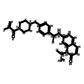 C=C(C)C(=O)N1CCN(Cc2ccc([C@H](C)Nc3ncc4ccc(=O)n([C@@H](C)C(C)C)c4n3)cc2)CC1